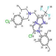 CCCN(Cc1ccc(Cl)cc1)Cc1c(C(F)(F)F)nc2n(-c3c(C)cc(C)cc3C)c(Cl)cn12